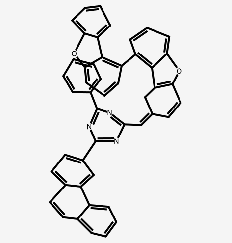 C1=Cc2oc3cccc(-c4cccc5oc6ccccc6c45)c3c2C/C1=C\c1nc(-c2ccccc2)nc(-c2ccc3ccc4ccccc4c3c2)n1